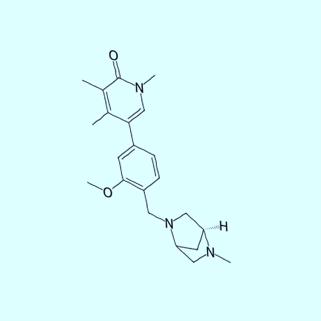 COc1cc(-c2cn(C)c(=O)c(C)c2C)ccc1CN1C[C@@H]2CC1CN2C